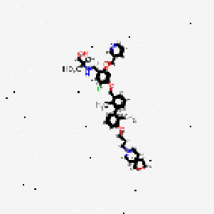 Cc1c(COc2cc(OCc3cccnc3)c(CNC(C)(CO)C(=O)O)cc2Cl)cccc1-c1cccc(OCCCN2CCC3(CCOC3)CC2)c1C